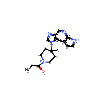 CC1(n2cnc3cnc4[nH]ccc4c32)CCN(C(=O)CC#N)CC1